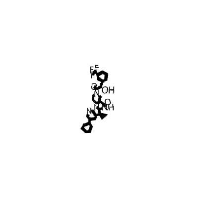 O=C([C@H](O)c1cccc(C(F)(F)F)c1)N1CCc2nc(C3(c4cncc(-c5ccccc5)c4)CC3)[nH]c(=O)c2C1